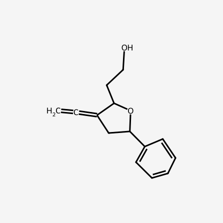 C=C=C1CC(c2ccccc2)OC1CCO